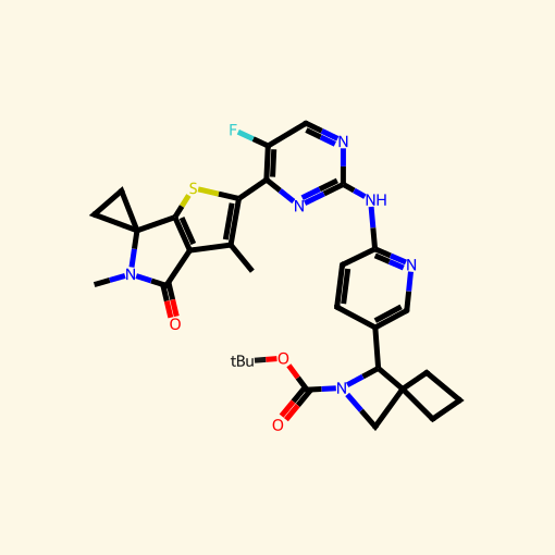 Cc1c(-c2nc(Nc3ccc(C4N(C(=O)OC(C)(C)C)CC45CCC5)cn3)ncc2F)sc2c1C(=O)N(C)C21CC1